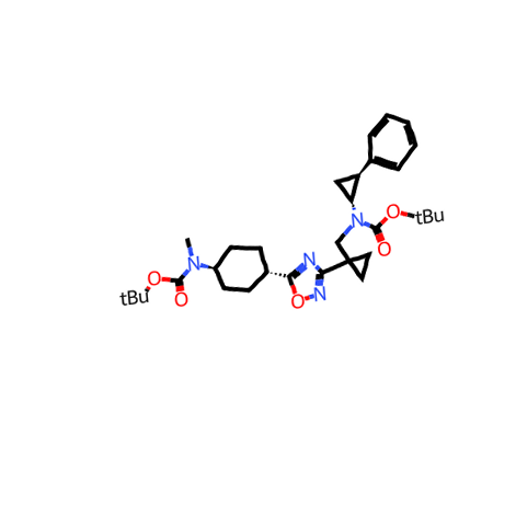 CN(C(=O)OC(C)(C)C)[C@H]1CC[C@H](c2nc(C3(CN(C(=O)OC(C)(C)C)[C@@H]4C[C@H]4c4ccccc4)CC3)no2)CC1